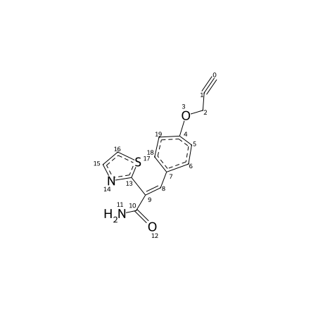 C#CCOc1ccc(C=C(C(N)=O)c2nccs2)cc1